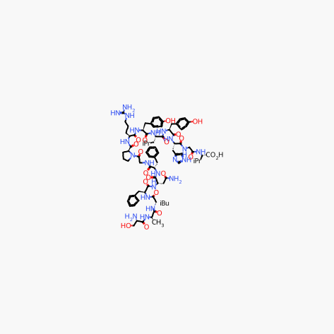 CC[C@H](C)[C@H](NC(=O)[C@H](C)NC(=O)[C@@H](N)CO)C(=O)N[C@@H](Cc1ccccc1)C(=O)N[C@@H](CC(N)=O)C(=O)N[C@@H](Cc1ccccc1)C(=O)NCC(=O)N1CCC[C@H]1C(=O)N[C@@H](CCCNC(=N)N)C(=O)N[C@@H](Cc1ccc(O)cc1)C(=O)N[C@@H](CC(C)C)C(=O)N[C@@H](Cc1ccc(O)cc1)C(=O)N[C@@H](Cc1c[nH]cn1)C(=O)NCC(=O)N[C@H](C(=O)O)C(C)C